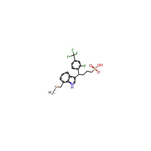 CSCc1cccc2c(C(CCCS(=O)(=O)O)c3ccc(C(F)(F)F)cc3F)c[nH]c12